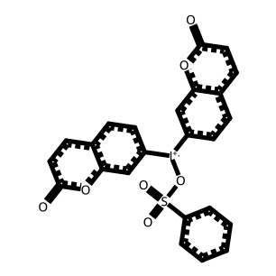 O=c1ccc2ccc([I+](OS(=O)(=O)c3ccccc3)c3ccc4ccc(=O)oc4c3)cc2o1